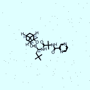 CC(C)(C)C[C@H](NC(=O)C(C)(C)NC(=O)c1cnccn1)B1O[C@@H]2C[C@@H]3C[C@@H](C3(C)C)[C@]2(C)O1